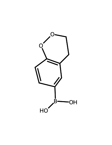 OB(O)c1ccc2c(c1)CCOO2